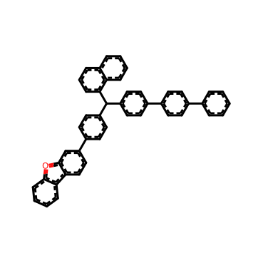 c1ccc(-c2ccc(-c3ccc(C(c4ccc(-c5ccc6c(c5)oc5ccccc56)cc4)c4cccc5ccccc45)cc3)cc2)cc1